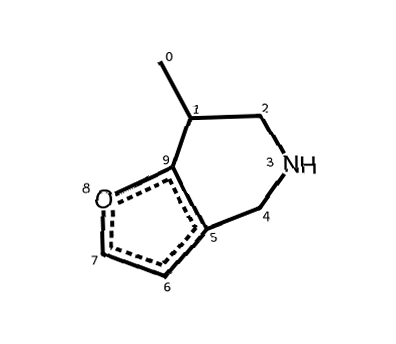 CC1CNCc2ccoc21